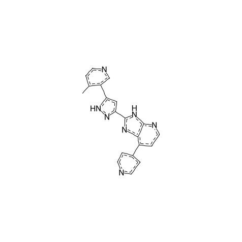 Cc1ccncc1-c1cc(-c2nc3c(-c4ccncc4)ccnc3[nH]2)n[nH]1